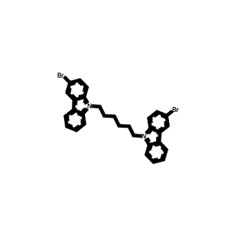 Brc1ccc2c(c1)c1ccccc1n2CCCCCCn1c2ccccc2c2cc(Br)ccc21